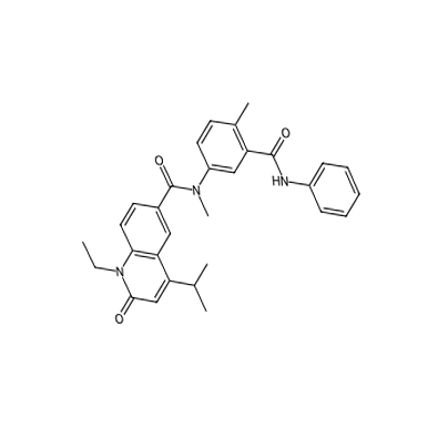 CCn1c(=O)cc(C(C)C)c2cc(C(=O)N(C)c3ccc(C)c(C(=O)Nc4ccccc4)c3)ccc21